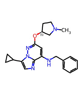 CN1CC[C@H](Oc2cc(NCc3ccccc3)c3ncc(C4CC4)n3n2)C1